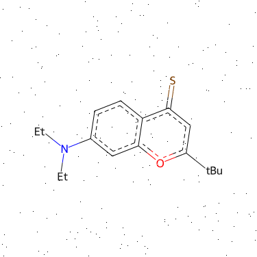 CCN(CC)c1ccc2c(=S)cc(C(C)(C)C)oc2c1